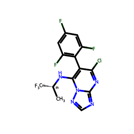 C[C@@H](Nc1c(-c2c(F)cc(F)cc2F)c(Cl)nc2ncnn12)C(F)(F)F